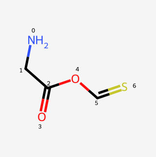 NCC(=O)OC=S